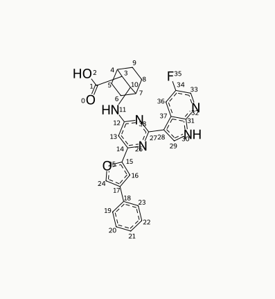 O=C(O)C1C2CCC(CC2)C1Nc1cc(-c2cc(-c3ccccc3)co2)nc(-c2c[nH]c3ncc(F)cc23)n1